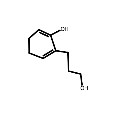 OCCCC1=CCCC=C1O